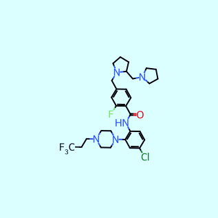 O=C(Nc1ccc(Cl)cc1N1CCN(CCC(F)(F)F)CC1)c1ccc(CN2CCCC2CN2CCCC2)cc1F